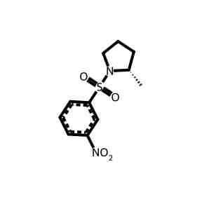 C[C@H]1CCCN1S(=O)(=O)c1cccc([N+](=O)[O-])c1